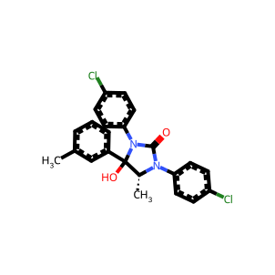 Cc1cccc(C2(O)[C@@H](C)N(c3ccc(Cl)cc3)C(=O)N2c2ccc(Cl)cc2)c1